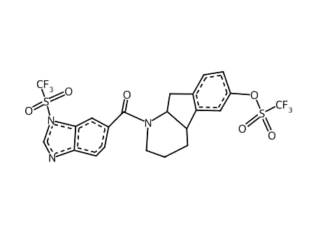 O=C(c1ccc2ncn(S(=O)(=O)C(F)(F)F)c2c1)N1CCCC2c3cc(OS(=O)(=O)C(F)(F)F)ccc3CC21